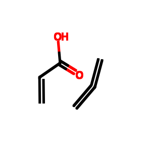 C=C=C.C=CC(=O)O